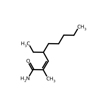 CCCCCC(C=C(C)C(N)=O)CC